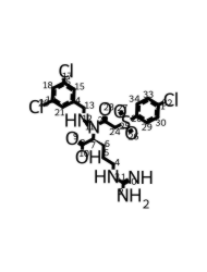 N=C(N)NCCC[C@@H](C(=O)O)N(NCc1cc(Cl)cc(Cl)c1)C(=O)CS(=O)(=O)c1ccc(Cl)cc1